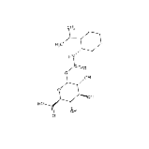 CC(C)[C@@H]1CCCC[C@@H]1NC(=O)O[C@H]1O[C@H](C(=O)O)[C@@H](O)[C@H](O)[C@H]1O